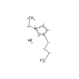 CCCCc1ccn(CC)c1.F